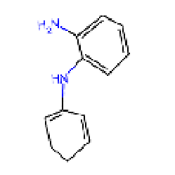 Nc1ccccc1NC1=CCCC=C1